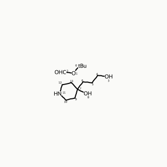 CC(C)(C)OC=O.OCCCC1(O)CCNCC1